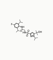 CC(C)c1cc(F)cc(C(C)C)c1NC(=O)CNS(=O)(=O)c1cc(C(C)(C)O)n(C(C)C)n1